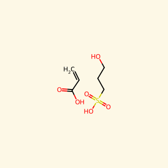 C=CC(=O)O.O=S(=O)(O)CCCO